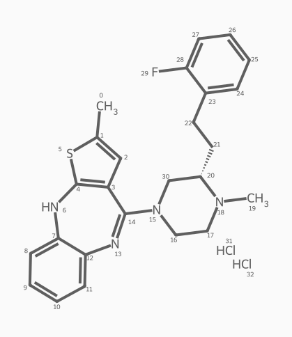 Cc1cc2c(s1)Nc1ccccc1N=C2N1CCN(C)[C@@H](CCc2ccccc2F)C1.Cl.Cl